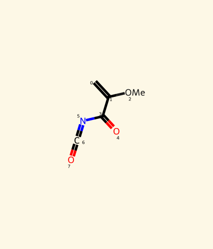 C=C(OC)C(=O)N=C=O